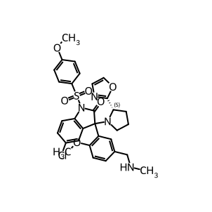 CNCc1ccc(OC)c(C2(N3CCC[C@H]3c3ncco3)C(=O)N(S(=O)(=O)c3ccc(OC)cc3)c3ccc(Cl)cc32)c1